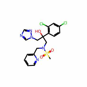 CS(=O)(=O)N(Cc1ccccn1)CC(O)(Cn1cncn1)c1ccc(Cl)cc1Cl